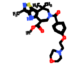 CC(C)OC(=O)C1=CN(C(=O)c2ccc(OCCN3CCOCC3)cc2)CC(C)(C)c2c1[nH]c1c(C(F)(F)F)nsc21